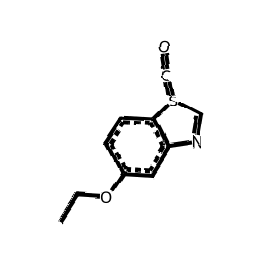 CCOc1ccc2c(c1)N=CS2=C=O